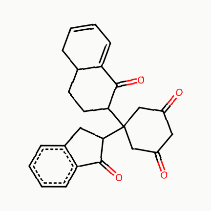 O=C1CC(=O)CC(C2CCC3CC=CC=C3C2=O)(C2Cc3ccccc3C2=O)C1